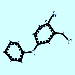 CC(C)Cc1cc(Oc2ccccc2)ccc1C(C)C